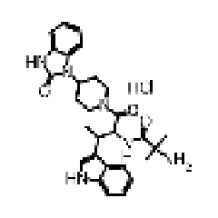 CC(c1c[nH]c2ccccc12)C(NC(=O)C(C)(C)N)C(=O)N1CCC(n2c(=O)[nH]c3ccccc32)CC1.Cl